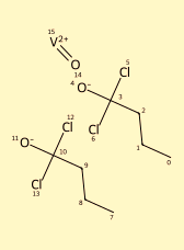 CCCC([O-])(Cl)Cl.CCCC([O-])(Cl)Cl.[O]=[V+2]